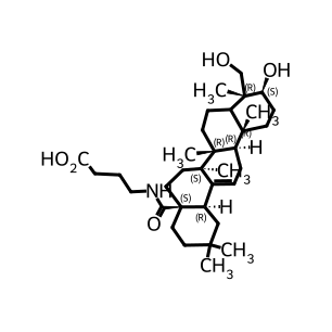 CC1(C)CC[C@]2(C(=O)NCCCC(=O)O)CC[C@]3(C)C(=CC[C@@H]4[C@@]5(C)CC[C@H](O)[C@@](C)(CO)C5CC[C@]43C)[C@H]2C1